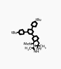 CCCC1(C)Cc2ccc(-c3cc(-c4ccc(C(C)(C)C)cc4)cc(-c4ccc(C(C)(C)C)cc4)c3)cc2C(NC)N1C(C)=N